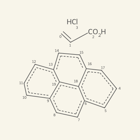 C=CC(=O)O.Cl.c1cc2ccc3cccc4ccc(c1)c2c34